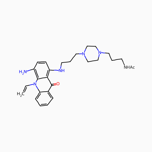 C=Cn1c2ccccc2c(=O)c2c(NCCCN3CCN(CCCNC(C)=O)CC3)ccc(N)c21